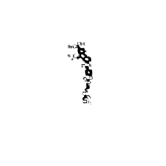 C=CC(=O)OCCCCOC(=O)Oc1ccc(C(=O)Oc2ccc3c(c2)C(CC)c2cc(C(O)O)ccc2-3)cc1